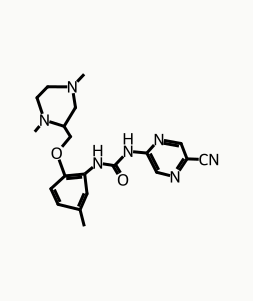 Cc1ccc(OCC2CN(C)CCN2C)c(NC(=O)Nc2cnc(C#N)cn2)c1